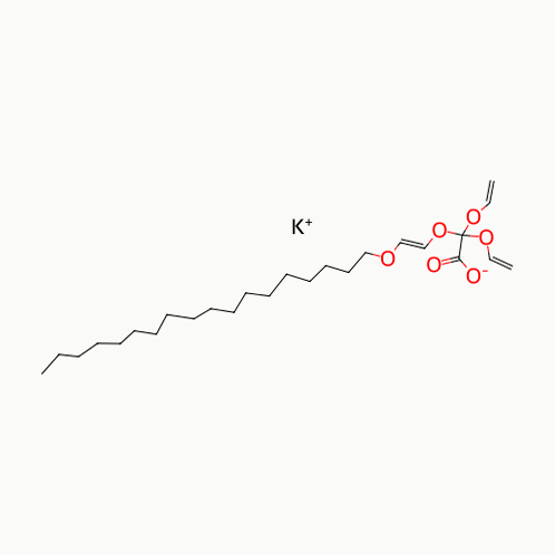 C=COC(OC=C)(OC=COCCCCCCCCCCCCCCCCCC)C(=O)[O-].[K+]